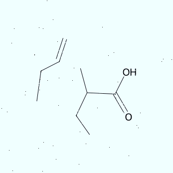 C=CCC.CCC(C)C(=O)O